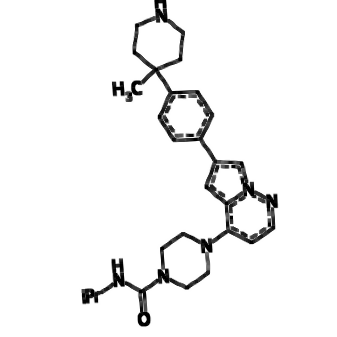 CC(C)NC(=O)N1CCN(c2ccnn3cc(-c4ccc(C5(C)CCNCC5)cc4)cc23)CC1